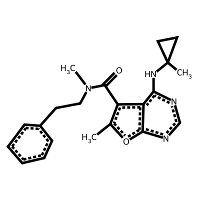 Cc1oc2ncnc(NC3(C)CC3)c2c1C(=O)N(C)CCc1ccccc1